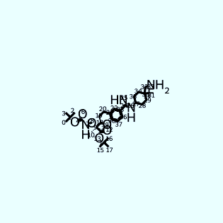 CC(C)(C)OC(=O)NO[C@](C)(C(=O)OC(C)(C)C)[C@H]1CCc2cc(C(=N)NC3CCC(F)(CN)CC3)ccc2O1